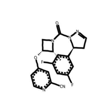 C[C@@H]1[C@H](Oc2ccnc(C#N)c2)CN1C(=O)N1N=CC[C@H]1c1cc(F)cc(F)c1